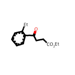 CCOC(=O)CCC(=O)c1ccccc1CC